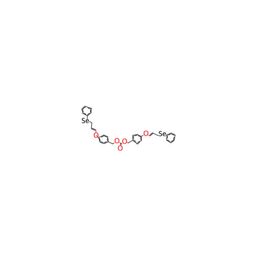 O=C(OCc1ccc(OC=CC[Se]c2ccccc2)cc1)OCc1ccc(OC=CC[Se]c2ccccc2)cc1